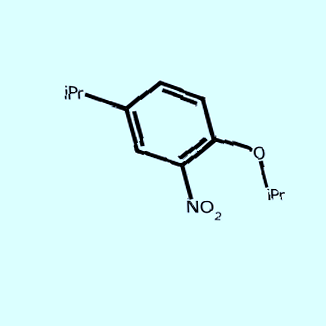 [CH2]C(C)c1ccc(OC(C)C)c([N+](=O)[O-])c1